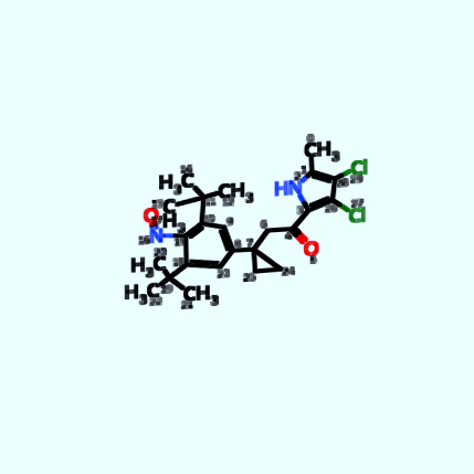 Cc1[nH]c(C(=O)CC2(c3cc(C(C)(C)C)c(N=O)c(C(C)(C)C)c3)CC2)c(Cl)c1Cl